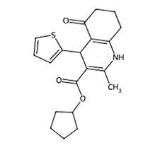 CC1=C(C(=O)OC2CCCC2)C(c2cccs2)C2=C(CCCC2=O)N1